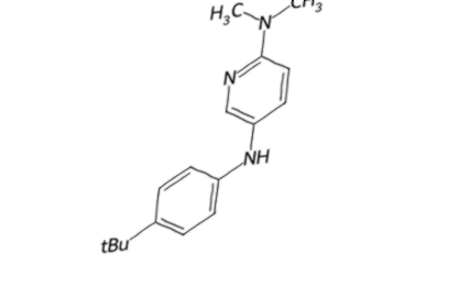 CN(C)c1ccc(Nc2ccc(C(C)(C)C)cc2)cn1